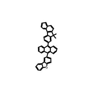 CC1(C)c2cc(-c3c4ccccc4c(-c4ccc5sc6ccccc6c5c4)c4ccccc34)ccc2-c2c1ccc1ccccc21